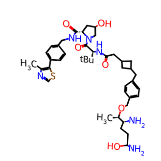 Cc1ncsc1-c1ccc(CNC(=O)[C@@H]2C[C@@H](O)CN2C(=O)[C@@H](NC(=O)CC2CC(Cc3ccc(CO[C@H](C)[C@@H](N)CCC(N)O)cc3)C2)C(C)(C)C)cc1